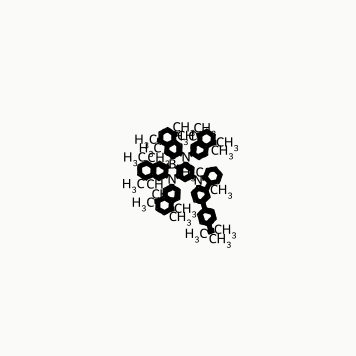 CC(C)(C)c1ccc(-c2ccc3c(c2)C2(C)CCCCC2(C)N3c2cc3c4c(c2)N(c2ccc5c(c2)C(C)(C)CCC5(C)C)c2cc5c(cc2B4c2cc4c(cc2N3c2ccc3c(c2)C(C)(C)CCC3(C)C)C(C)(C)CCC4(C)C)C(C)(C)CCC5(C)C)cc1